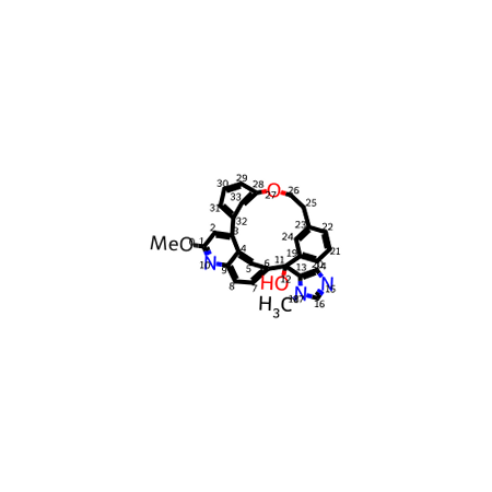 COc1cc2c3cc(ccc3n1)C(O)(c1cncn1C)c1cccc(c1)CCOc1cccc-2c1